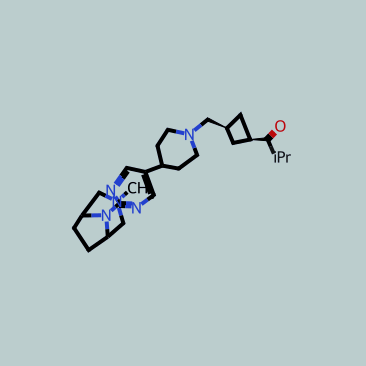 CC(C)C(=O)[C@H]1C[C@@H](CN2CCC(c3cnc(N4C5CCC4CN(C)C5)nc3)CC2)C1